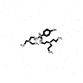 CCCN(CCC)CCC.CCN(CC)CC.O=S(=O)(O)c1ccc(O)cc1